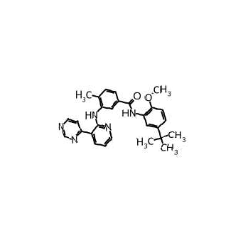 COc1ccc(C(C)(C)C)cc1NC(=O)c1ccc(C)c(Nc2ncccc2-c2ccncn2)c1